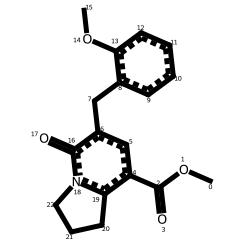 COC(=O)c1cc(Cc2ccccc2OC)c(=O)n2c1CCC2